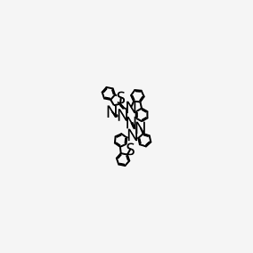 c1ccc2c(c1)sc1c(-n3c4ccccc4n4c5ccc6c7ccccc7n(-c7ncnc8c7sc7ccccc78)c6c5nc34)cccc12